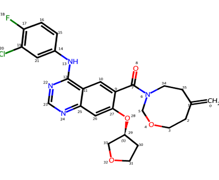 C=C1CCOCN(C(=O)c2cc3c(Nc4ccc(F)c(Cl)c4)ncnc3cc2O[C@H]2CCOC2)CC1